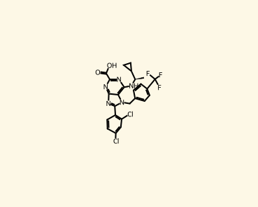 C[C@@H](Nc1nc(C(=O)O)nc2nc(-c3ccc(Cl)cc3Cl)n(Cc3ccc(C(F)(F)F)cc3)c12)C1CC1